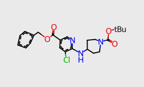 CC(C)(C)OC(=O)N1CCC(Nc2ncc(C(=O)OCc3ccccc3)cc2Cl)CC1